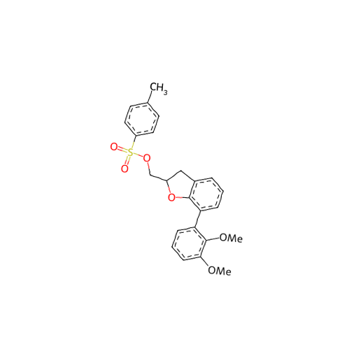 COc1cccc(-c2cccc3c2OC(COS(=O)(=O)c2ccc(C)cc2)C3)c1OC